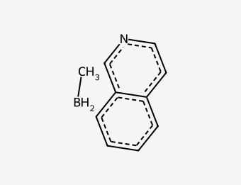 BC.c1ccc2cnccc2c1